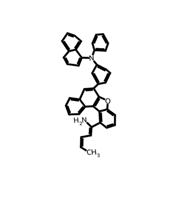 C/C=C\C=C(/N)c1cccc2oc3c(-c4cccc(N(c5ccccc5)c5cccc6ccccc56)c4)cc4ccccc4c3c12